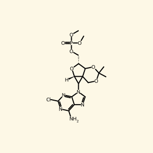 COP(=O)(OC)OC[C@H]1O[C@H]2C(n3cnc4c(N)nc(Cl)nc43)C23COC(C)(C)OC13